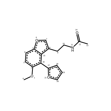 COc1ccc2occ(CCNC(C)=O)c2c1-c1ccco1